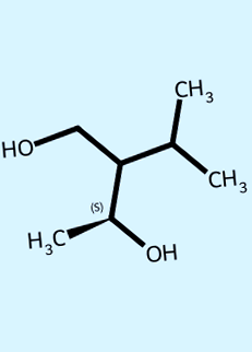 CC(C)C(CO)[C@H](C)O